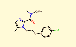 CON(C)C(=O)c1ncc(C)n1CCCc1ccc(Cl)cc1